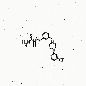 NC(=S)N/N=C/c1cccc(CN2CCN(c3cccc(Cl)c3)CC2)c1